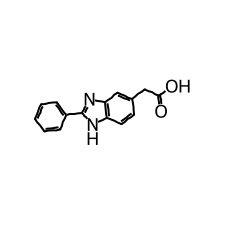 O=C(O)Cc1ccc2[nH]c(-c3ccccc3)nc2c1